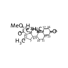 COCC(=O)C1[C@@H](C)CC2C3CCC4=CC(=O)C=C[C@]4(C)C3=CC[C@@]21C